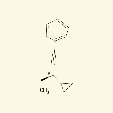 CC[C@@H](C#Cc1ccccc1)C1CC1